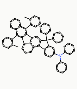 Cc1ccccc1-c1c2c(c(-c3ccccc3C)c3ccccc13)-c1cc3c(c4cccc-2c14)-c1ccc(N(c2ccccc2)c2ccccc2)cc1C3(c1ccccc1)c1ccccc1